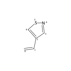 C=Cc1cnsc1